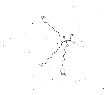 C=C(C)[Si](OCCCCCCCC)(OCCCCCCCC)OCCCCCCCC